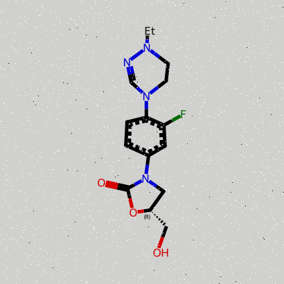 CCN1CCN(c2ccc(N3C[C@H](CO)OC3=O)cc2F)C=N1